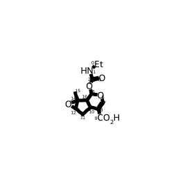 CCNC(=O)OC1OC=C(C(=O)O)C2CC3OC3(C)C12